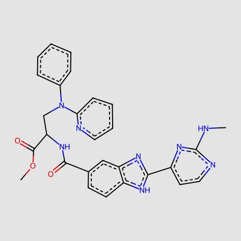 CNc1nccc(-c2nc3cc(C(=O)NC(CN(c4ccccc4)c4ccccn4)C(=O)OC)ccc3[nH]2)n1